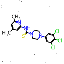 Cc1cc(C)nc(NC(=S)N2CCN(c3cc(Cl)c(Cl)c(Cl)c3)CC2)c1